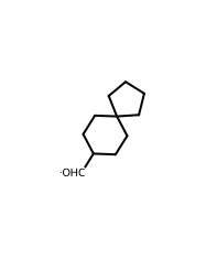 O=[C]C1CCC2(CCCC2)CC1